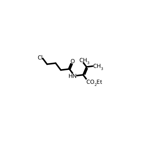 CCOC(=O)C(NC(=O)CCCCl)=C(C)C